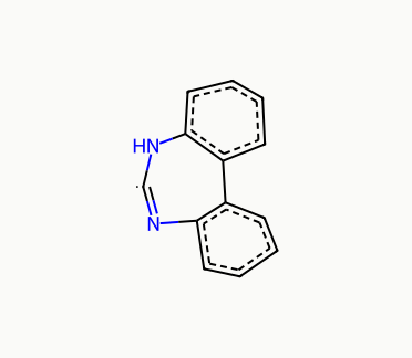 [C]1=Nc2ccccc2-c2ccccc2N1